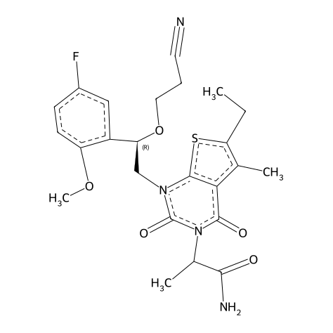 CCc1sc2c(c1C)c(=O)n(C(C)C(N)=O)c(=O)n2C[C@H](OCCC#N)c1cc(F)ccc1OC